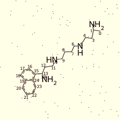 CC(N)CCNCCCCNCCC(N)c1cccc2ccccc12